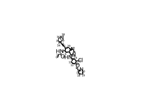 C=CC(=O)Nc1cc2c(Nc3ccc(OCc4ccccn4)c(Cl)c3)ncnc2cc1C#C[C@@]1(C)CCN(C)C1